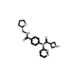 O=C(NC[C@H]1CCCO1)c1ccc(N(C(=O)C2CNC2)c2cccnn2)cc1